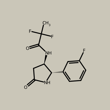 CC(F)(F)C(=O)N[C@@H]1CC(=O)N[C@H]1c1cccc(F)c1